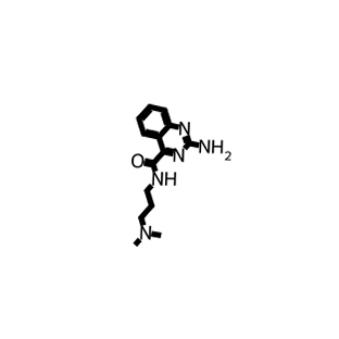 CN(C)CCCNC(=O)c1nc(N)nc2ccccc12